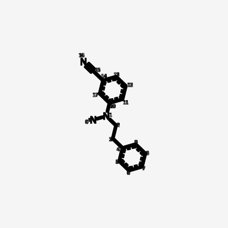 [N]N(CCc1ccccc1)c1cccc(C#N)c1